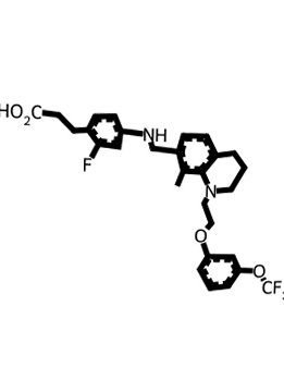 Cc1c(CNc2ccc(CCC(=O)O)c(F)c2)ccc2c1N(CCOc1cccc(OC(F)(F)F)c1)CCC2